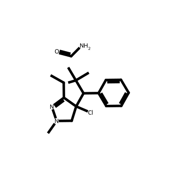 CCC1=NN(C)CC1(Cl)C(c1ccccc1)C(C)(C)C.NC=O